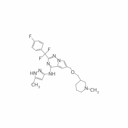 Cc1cc(Nc2nc(C(F)(F)c3ccc(F)cc3)nn3cc(COCC4CCCN(C)C4)cc23)n[nH]1